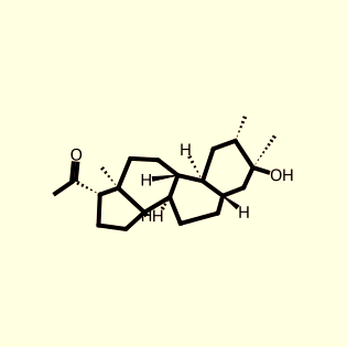 CC(=O)[C@H]1CC[C@H]2[C@@H]3CC[C@H]4C[C@](C)(O)[C@@H](C)C[C@@H]4[C@H]3CC[C@]12C